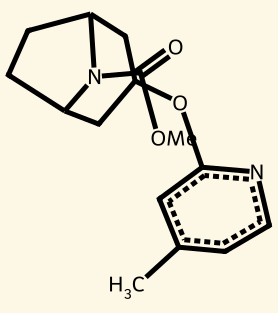 COC(=O)N1C2CCC1CC(Oc1cc(C)ccn1)C2